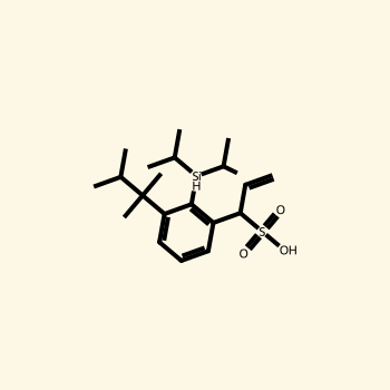 C=CC(c1cccc(C(C)(C)C(C)C)c1[SiH](C(C)C)C(C)C)S(=O)(=O)O